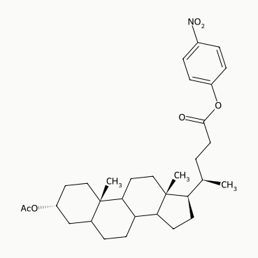 CC(=O)O[C@@H]1CC[C@@]2(C)C(CCC3C2CC[C@@]2(C)C3CC[C@@H]2[C@H](C)CCC(=O)Oc2ccc([N+](=O)[O-])cc2)C1